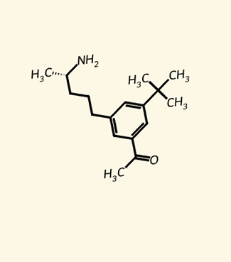 CC(=O)c1cc(CCC[C@H](C)N)cc(C(C)(C)C)c1